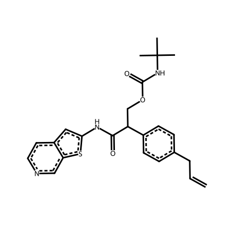 C=CCc1ccc(C(COC(=O)NC(C)(C)C)C(=O)Nc2cc3ccncc3s2)cc1